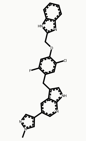 Cn1cc(-c2cnc3[nH]cc(Cc4cc(Cl)c(OCc5nc6ccccc6[nH]5)cc4F)c3c2)cn1